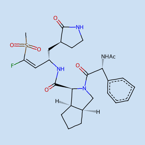 CC(=O)N[C@@H](C(=O)N1C[C@H]2CCC[C@H]2[C@H]1C(=O)N[C@H](/C=C(/F)S(C)(=O)=O)C[C@@H]1CCNC1=O)c1ccccc1